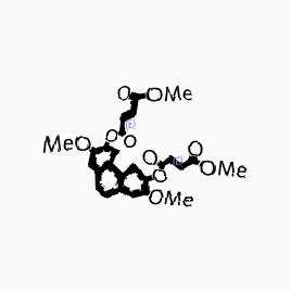 COC(=O)/C=C/C(=O)Oc1cc2c(ccc3cc(OC)c(OC(=O)/C=C/C(=O)OC)cc32)cc1OC